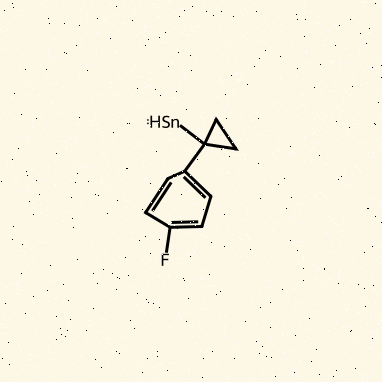 Fc1ccc([C]2([SnH])CC2)cc1